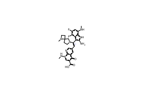 CNc1cc(F)c(F)c2c(/C(=C/c3cnc4c(c3)c(=O)c(C(=O)O)cn4NC)N3CCC4(CCN4C)C3)c(N)[nH]c12